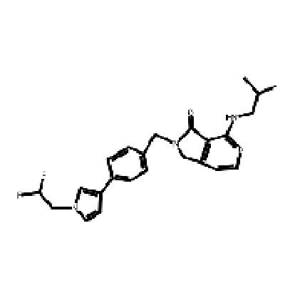 O=C1c2c(ccnc2NCC(F)I)CN1Cc1ccc(-c2ccn(CC(F)F)c2)cc1